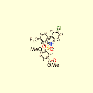 COC(=O)c1ccc(OC)c(S(=O)(=O)Nc2cc(C(F)(F)F)ccc2-c2cccc(Cl)c2)c1